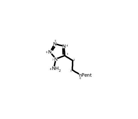 CCCCCCCc1nnnn1N